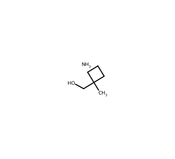 CC1(CO)CCC1.N